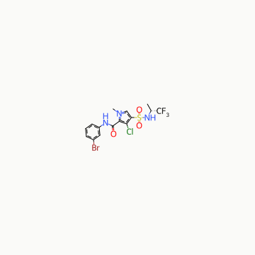 C[C@@H](NS(=O)(=O)c1cn(C)c(C(=O)Nc2cccc(Br)c2)c1Cl)C(F)(F)F